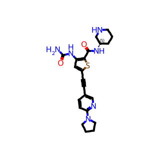 NC(=O)Nc1cc(C#Cc2ccc(N3CCCC3)nc2)sc1C(=O)N[C@H]1CCCNC1